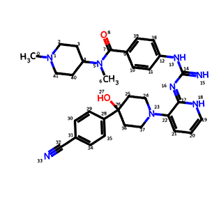 CN1CCC(N(C)C(=O)c2ccc(NC(=N)/N=c3\[nH]cccc3N3CCC(O)(c4ccc(C#N)cc4)CC3)cc2)CC1